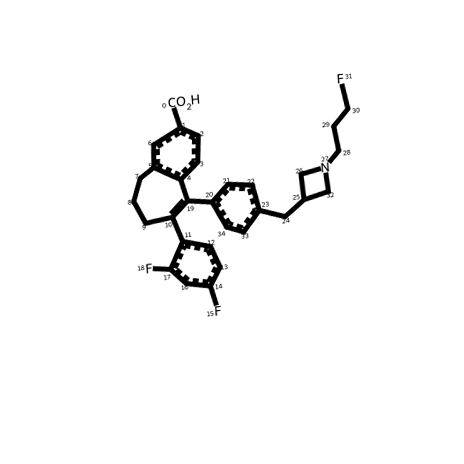 O=C(O)c1ccc2c(c1)CCCC(c1ccc(F)cc1F)=C2c1ccc(CC2CN(CCCF)C2)cc1